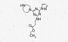 CCOC(=O)CCNc1nc(N2CCCNCC2)nc(-n2cccn2)n1